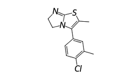 CC1=C(c2ccc(Cl)c(C)c2)N2CCN=C2S1